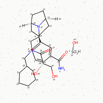 NC(=O)c1cccc([C@H]2C[C@H]3CC[C@@H](C2)N3CCN(CC2CCCCC2)C(=O)[C@@H](O)CO)c1.O=S(=O)(O)O